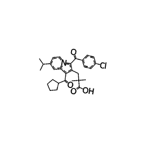 CC(C)c1ccn2c(C(=O)c3ccc(Cl)cc3)c(CC(C)(C)C(=O)O)c(C(=O)C3CCCC3)c2c1